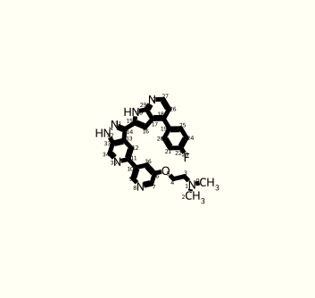 CN(C)CCOc1cncc(-c2cc3c(-c4cc5c(-c6ccc(F)cc6)ccnc5[nH]4)n[nH]c3cn2)c1